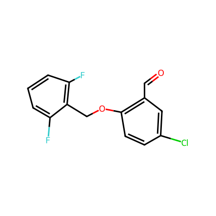 O=Cc1cc(Cl)ccc1OCc1c(F)cccc1F